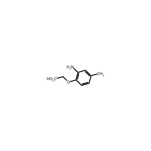 Cc1ccc(OCC(=O)O)c(N)c1